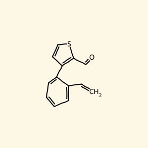 C=Cc1ccccc1-c1ccsc1C=O